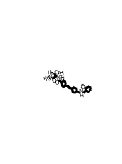 COc1ccccc1CNCc1ccc(C#Cc2ccc(C(=O)N[C@H](C(=O)NO)[C@@H](C)O)cc2)cc1